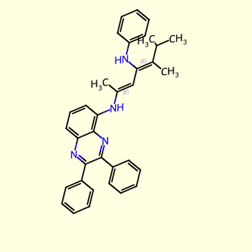 C/C(=C(\C=C(/C)Nc1cccc2nc(-c3ccccc3)c(-c3ccccc3)nc12)Nc1ccccc1)C(C)C